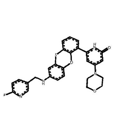 O=c1cc(N2CCOCC2)cc(-c2cccc3c2Oc2ccc(NCc4ccc(F)nc4)cc2S3)[nH]1